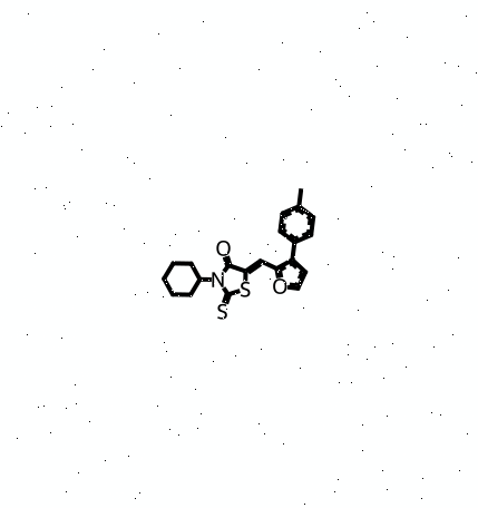 Cc1ccc(-c2ccoc2C=C2SC(=S)N(C3CCCCC3)C2=O)cc1